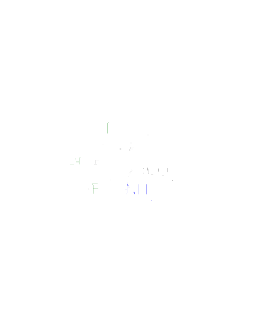 Nc1c(F)c(Br)c(F)c(F)c1C(=O)O